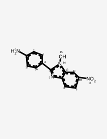 Nc1ccc(-c2nc3ccc([N+](=O)[O-])cc3n2O)cc1